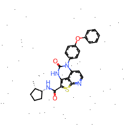 C[C@H]1CCC[C@H]1NC(=O)c1sc2nccc3c2c1NC(=O)N3c1ccc(Oc2ccccc2)cc1